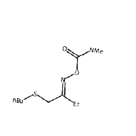 CCCCSCC(CC)=NOC(=O)NC